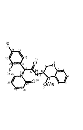 COC1c2ccccc2OCC1NC(=O)C(c1ccc(F)cc1F)n1ccccc1=O